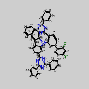 Fc1ccc(-c2ccc(-c3nc(-c4ccccc4)nc(-c4ccccc4)n3)c(-n3c4ccccc4c4ccc(-c5nc(-c6ccccc6)nc(-c6ccccc6)n5)cc43)c2)c(F)c1